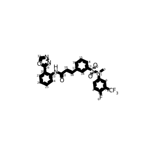 CN(c1ccc(F)c(C(F)(F)F)c1)S(=O)(=O)c1cccc(/C=C/C(=O)Nc2ccccc2-c2nnco2)c1